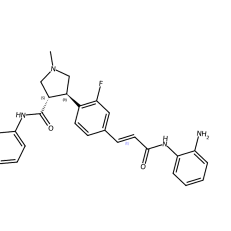 CN1C[C@@H](C(=O)Nc2ccc(Cl)cc2)[C@H](c2ccc(/C=C/C(=O)Nc3ccccc3N)cc2F)C1